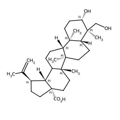 C=C(C)[C@@H]1CC[C@]2(C(=O)O)CC[C@]3(C)C(CC[C@@H]4[C@@]5(C)CC[C@H](O)[C@@](C)(CO)[C@@H]5CC[C@]43C)[C@@H]12